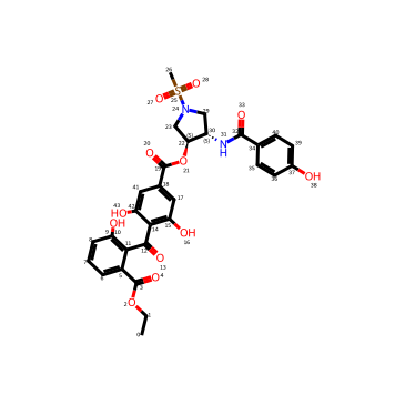 CCOC(=O)c1cccc(O)c1C(=O)c1c(O)cc(C(=O)O[C@H]2CN(S(C)(=O)=O)C[C@@H]2NC(=O)c2ccc(O)cc2)cc1O